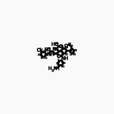 NCc1ccc(NC(=O)c2cc3c(cc2-c2ccc(C(=O)Nc4cccc(Cl)c4F)nc2C(=O)O)OCCc2ccsc2-3)cc1